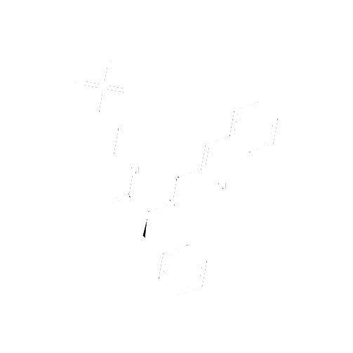 CC(C)COS(=O)(=O)CCCNC(=O)[C@H](Cc1ccccc1)NC(=O)/C(N)=C/c1ccccc1